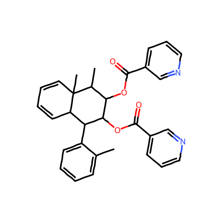 Cc1ccccc1C1C(OC(=O)c2cccnc2)C(OC(=O)c2cccnc2)C(C)C2(C)C=CC=CC12